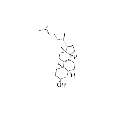 CC(C)=CCC[C@@H](C)[C@H]1CC[C@@H]2C3=C(CC[C@@]21C)[C@@]1(C)CC[C@H](O)C[C@@H]1CC3